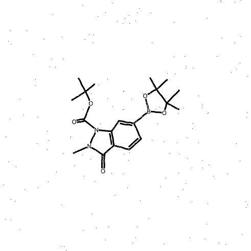 Cn1c(=O)c2ccc(B3OC(C)(C)C(C)(C)O3)cc2n1C(=O)OC(C)(C)C